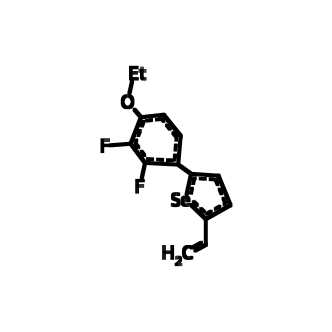 C=Cc1ccc(-c2ccc(OCC)c(F)c2F)[se]1